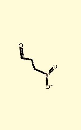 O=[C]C[CH][N+](=O)[O-]